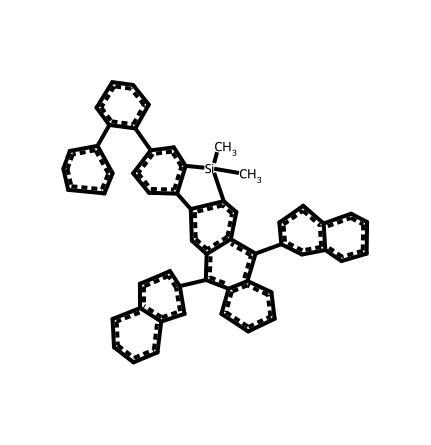 C[Si]1(C)c2cc(-c3ccccc3-c3ccccc3)ccc2-c2cc3c(-c4ccc5ccccc5c4)c4ccccc4c(-c4ccc5ccccc5c4)c3cc21